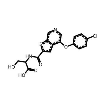 O=C(NC(CO)C(=O)O)c1cc2c(Oc3ccc(Cl)cc3)cncc2s1